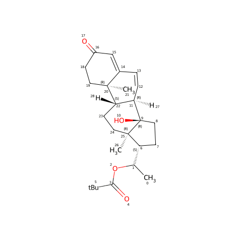 CC(OC(=O)C(C)(C)C)[C@H]1CC[C@@]2(O)[C@@H]3C=CC4=CC(=O)CC[C@]4(C)[C@H]3CC[C@]12C